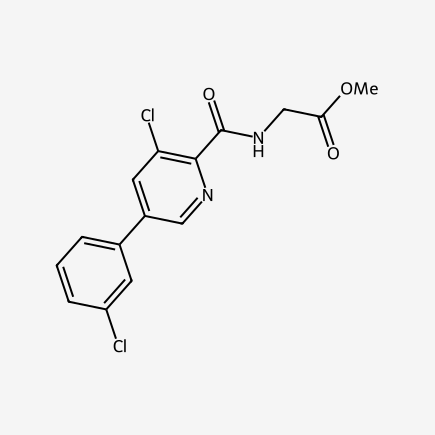 COC(=O)CNC(=O)c1ncc(-c2cccc(Cl)c2)cc1Cl